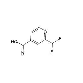 O=C(O)c1ccnc(C(F)F)c1